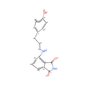 O=C1NC(=O)c2c(NCCCc3ccc(O)cc3)cccc21